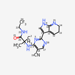 CC(C)(Nc1nc(-c2c[nH]c3c2=CCCN=3)ncc1C#N)C(=O)NCC(F)(F)F